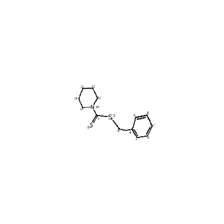 S=C(SCc1ccccc1)N1CCCCC1